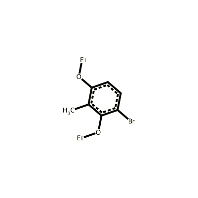 CCOc1ccc(Br)c(OCC)c1C